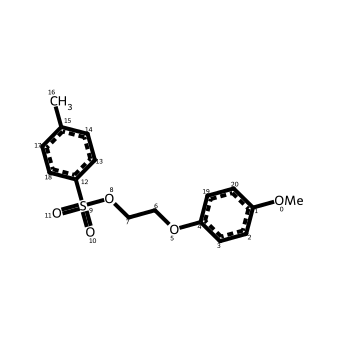 COc1ccc(OCCOS(=O)(=O)c2ccc(C)cc2)cc1